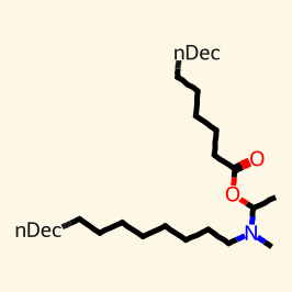 CCCCCCCCCCCCCCCCCCN(C)C(C)OC(=O)CCCCCCCCCCCCCCC